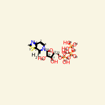 C=C1c2scnc2C=CN1[C@@H]1O[C@H](COP(=O)(O)OP(=O)(O)OP(=O)(O)O)C(O)[C@@H]1O